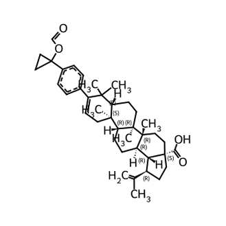 C=C(C)[C@@H]1CC[C@]2(C(=O)O)CC[C@]3(C)[C@H](CC[C@@H]4[C@@]5(C)CC=C(c6ccc(C7(OC=O)CC7)cc6)C(C)(C)[C@@H]5CC[C@]43C)[C@@H]12